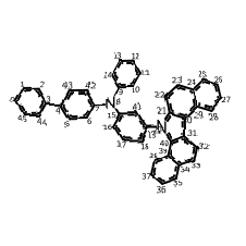 c1ccc(-c2ccc(N(c3ccccc3)c3cccc(-n4c5ccc6ccccc6c5c5ccc6ccccc6c54)c3)cc2)cc1